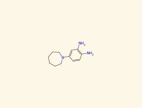 Nc1ccc(N2CCCCCC2)cc1N